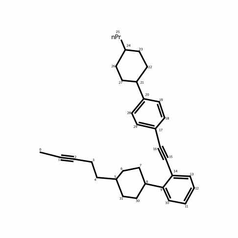 CC#CCCC1CCC(c2ccccc2C#Cc2ccc(C3CCC(CCC)CC3)cc2)CC1